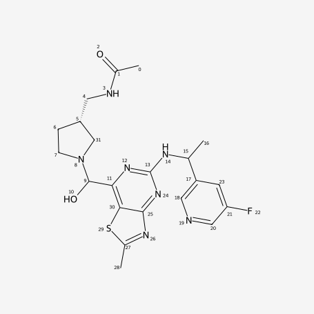 CC(=O)NC[C@H]1CCN(C(O)c2nc(NC(C)c3cncc(F)c3)nc3nc(C)sc23)C1